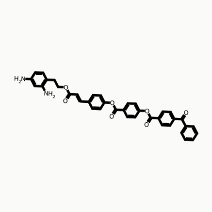 Nc1ccc(CCOC(=O)C=Cc2ccc(OC(=O)c3ccc(OC(=O)c4ccc(C(=O)c5ccccc5)cc4)cc3)cc2)c(N)c1